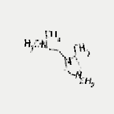 CC1CN(C)CCN1CCN(C)C